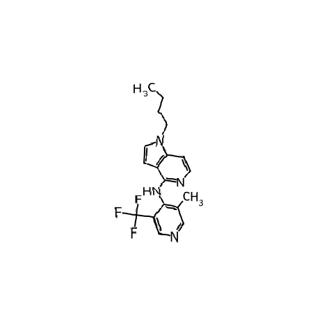 CCCCn1ccc2c(Nc3c(C)cncc3C(F)(F)F)nccc21